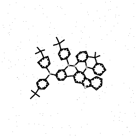 CC(C)(C)c1ccc(N2B3c4cccc5c4N(c4ccccc4C5(C)C)c4c3c(cc3oc5ccccc5c43)-c3ccc(N(c4ccc(C(C)(C)C)cc4)c4ccc(C(C)(C)C)cc4)cc32)cc1